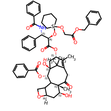 CC1=C2[CH]C(=O)[C@@]3(C)C([C]4CO[C@@H]4C[C@@H]3O)[C@H](OC(=O)c3ccccc3)[C@](O)(C[C@@H]1OC(=O)[C@H](O[Si]1(OCC(=O)OCc3ccccc3)CCCCC1)[C@@H](NC(=O)c1ccccc1)c1ccccc1)C2(C)C